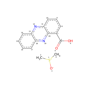 C[S+](C)[O-].O=C(O)c1cccc2nc3ccccc3nc12